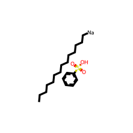 CCCCCCCCCCCCC[CH2][Na].O=S(=O)(O)c1ccccc1